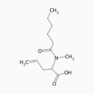 C=CCC(C(=O)O)N(C)C(=O)CCCCC